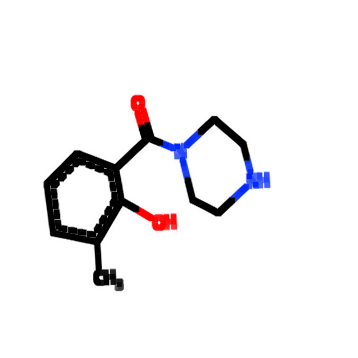 Cc1cccc(C(=O)N2CCNCC2)c1O